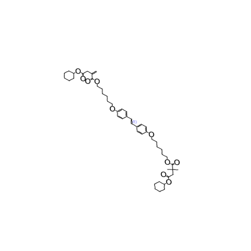 C=C(CC(=O)OC1CCCCC1)C(=O)OCCCCCCOc1ccc(/C=C/c2ccc(OCCCCCCOC(=O)C(C)(C)CC(=O)OC3CCCCC3)cc2)cc1